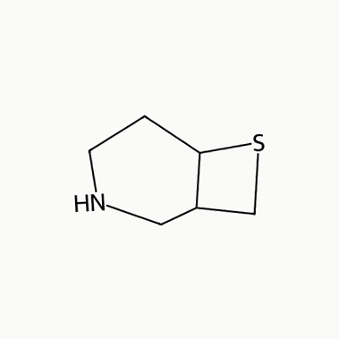 C1CC2SCC2CN1